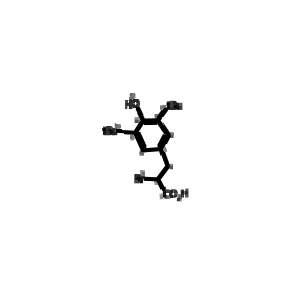 CC(C)(C)c1cc(CC(Br)C(=O)O)cc(C(C)(C)C)c1O